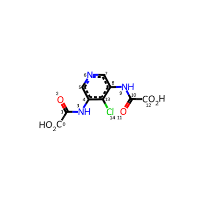 O=C(O)C(=O)Nc1cncc(NC(=O)C(=O)O)c1Cl